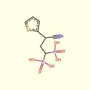 N#CC(CC(P(=O)(O)O)P(=O)(O)O)c1cccs1